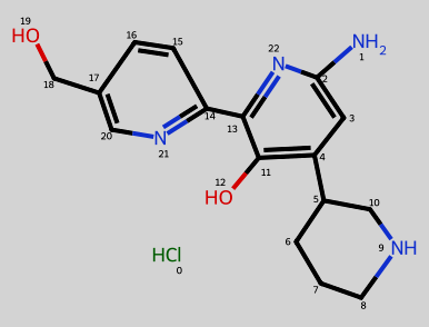 Cl.Nc1cc(C2CCCNC2)c(O)c(-c2ccc(CO)cn2)n1